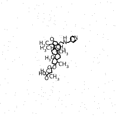 CC(C)C1=C2[C@H]3CCC4[C@@]5(C)CC[C@H](OC(=O)CC(C)(C)C(=O)O)C(C)C5CC[C@@]4(C)[C@]3(C)CC[C@@]2(CCNCc2ccncc2)CC1=O